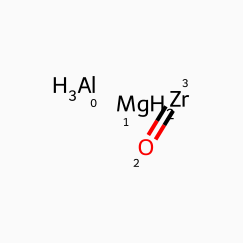 [AlH3].[MgH2].[O]=[Zr]